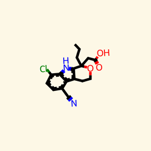 CCCC1(CC(=O)O)OCCc2c1[nH]c1c(Cl)ccc(C#N)c21